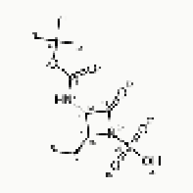 CC[C@H]1[C@H](NC(=O)OC(C)(C)C)C(=O)N1S(=O)(=O)O